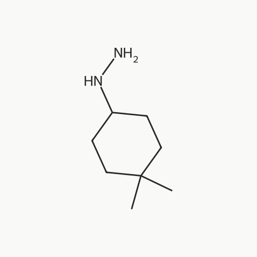 CC1(C)CCC(NN)CC1